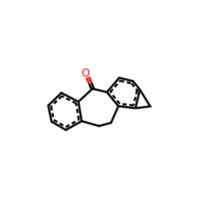 O=C1c2ccccc2CCc2c1ccc1c2C1